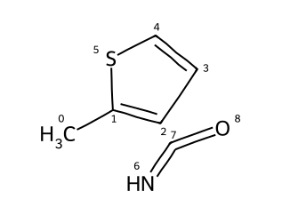 Cc1cccs1.N=C=O